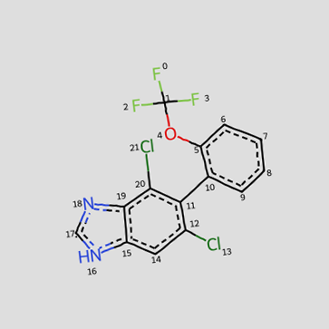 FC(F)(F)Oc1ccccc1-c1c(Cl)cc2[nH][c]nc2c1Cl